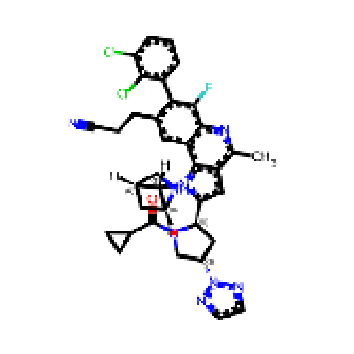 Cc1nc2c(F)c(-c3cccc(Cl)c3Cl)c(CCC#N)cc2c2c1cc([C@H]1C[C@H](n3nccn3)CN1C(=O)C1CC1)n2[C@H]1[C@H]2CN[C@@H]1C2